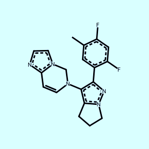 Cc1cc(-c2nn3c(c2N2C=Cc4nccn4C2)CCC3)c(F)cc1F